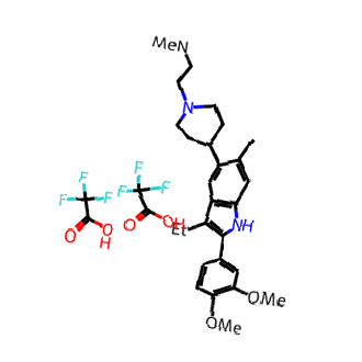 CCc1c(-c2ccc(OC)c(OC)c2)[nH]c2cc(C)c(C3CCN(CCNC)CC3)cc12.O=C(O)C(F)(F)F.O=C(O)C(F)(F)F